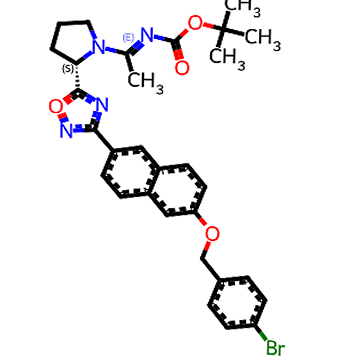 C/C(=N\C(=O)OC(C)(C)C)N1CCC[C@H]1c1nc(-c2ccc3cc(OCc4ccc(Br)cc4)ccc3c2)no1